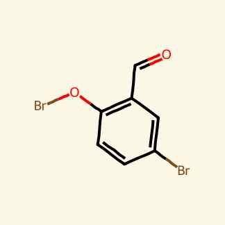 O=Cc1cc(Br)ccc1OBr